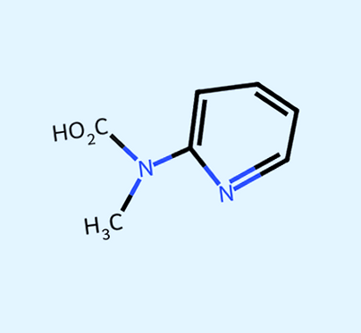 CN(C(=O)O)c1ccccn1